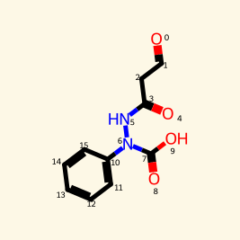 O=CCC(=O)NN(C(=O)O)c1ccccc1